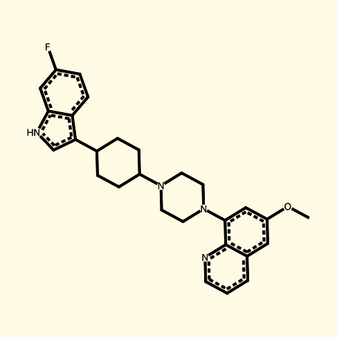 COc1cc(N2CCN(C3CCC(c4c[nH]c5cc(F)ccc45)CC3)CC2)c2ncccc2c1